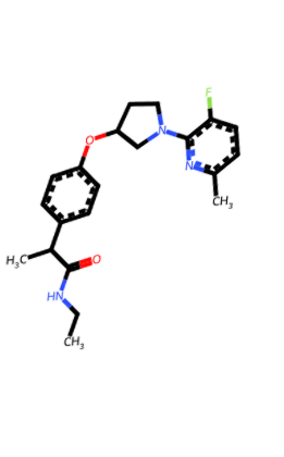 CCNC(=O)C(C)c1ccc(OC2CCN(c3nc(C)ccc3F)C2)cc1